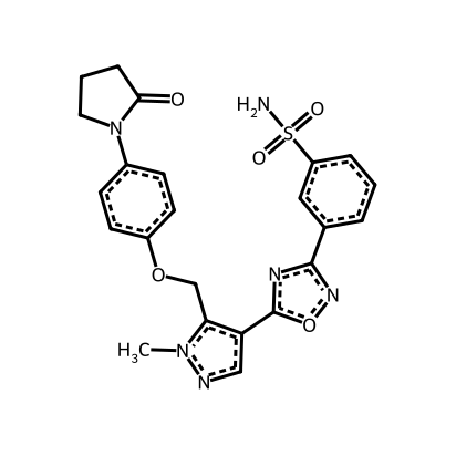 Cn1ncc(-c2nc(-c3cccc(S(N)(=O)=O)c3)no2)c1COc1ccc(N2CCCC2=O)cc1